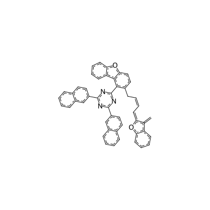 C=c1/c(=C\C=C/Cc2ccc3oc4ccccc4c3c2-c2nc(-c3ccc4ccccc4c3)nc(-c3ccc4ccccc4c3)n2)oc2ccccc12